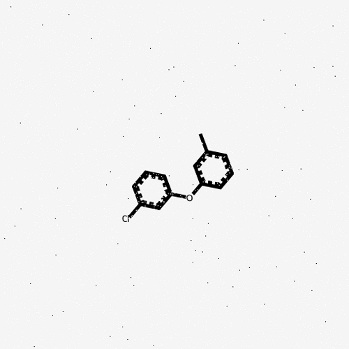 Cc1cccc(Oc2cccc(Cl)c2)c1